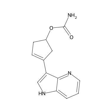 NC(=O)OC1CC=C(c2c[nH]c3cccnc23)C1